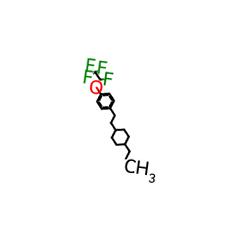 CCCC1CCC(CCc2ccc(OC(F)C(F)(F)F)cc2)CC1